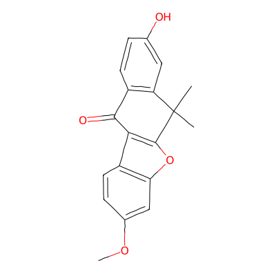 COc1ccc2c3c(oc2c1)C(C)(C)c1cc(O)ccc1C3=O